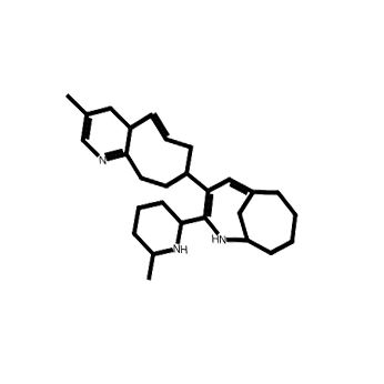 CC1=CN=C2CCC(C3=C(C4CCCC(C)N4)NC4CCCCC(=C3)C4)C/C=C/C2C1